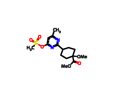 COC(=O)C1(OC)CCC(c2nc(C)cc(OS(C)(=O)=O)n2)CC1